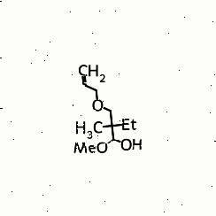 C=CCOCC(C)(CC)C(O)OC